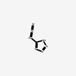 [N-]=[N+]=[As]c1nnn[nH]1